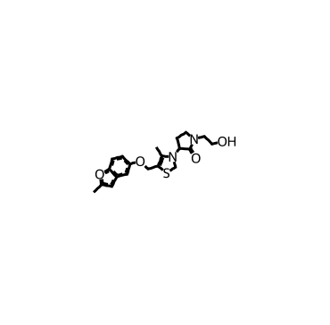 CC1=C(COc2ccc3oc(C)cc3c2)SCN1C1CCN(CCO)C1=O